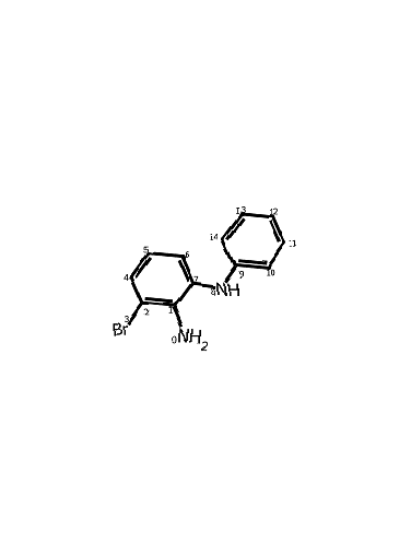 Nc1c(Br)cccc1Nc1ccccc1